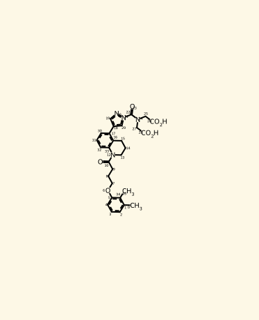 Cc1cccc(OCCCC(=O)N2CCCc3c(-c4cnn(C(=O)N(CC(=O)O)CC(=O)O)c4)cccc32)c1C